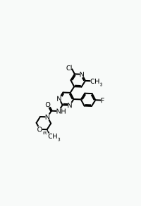 Cc1cc(-c2cnc(NC(=O)N3CCO[C@H](C)C3)nc2-c2ccc(F)cc2)cc(Cl)n1